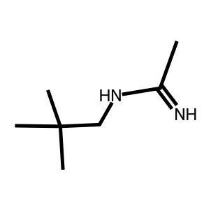 CC(=N)NCC(C)(C)C